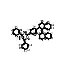 Brc1ccc2ccccc2c1-c1c(-c2ccc(C3=NC(c4ccccc4)NC(c4ccccc4)=N3)cc2)ccc2ccccc12